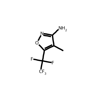 Cc1c(N)noc1C(F)(F)C(F)(F)F